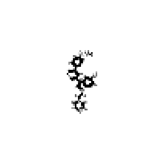 COc1ccc(-c2cncc(-c3cn(CCN4CCOCC4)c4ccc(Cl)cc34)c2)cc1